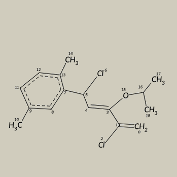 C=C(Cl)C(=CC(Cl)c1cc(C)ccc1C)OC(C)C